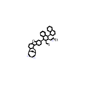 CC/C(C)=C/c1c(C=S)c(-c2ccc3c(c2)oc2ccc4c(c23)CC2C#CC4/C=C\C=C/2)c2c(c1-c1cccc3ccccc13)=C=C=CC=2